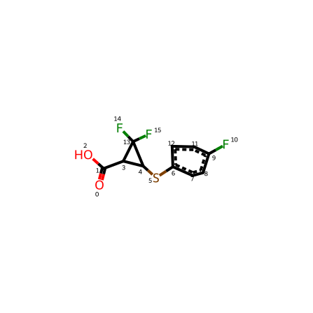 O=C(O)C1C(Sc2ccc(F)cc2)C1(F)F